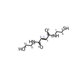 O=C(/C=C/C(=O)NCCS)NCCO